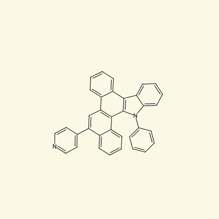 c1ccc(-n2c3ccccc3c3c4ccccc4c4cc(-c5ccncc5)c5ccccc5c4c32)cc1